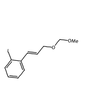 COCOCC=Cc1ccccc1I